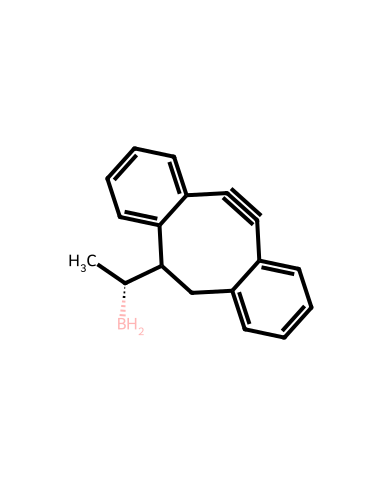 B[C@H](C)C1Cc2ccccc2C#Cc2ccccc21